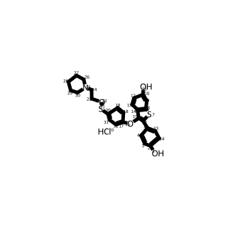 Cl.Oc1ccc(-c2sc3cc(O)ccc3c2Oc2ccc(SOCCN3CCCCC3)cc2)cc1